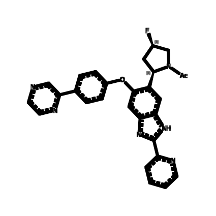 CC(=O)N1C[C@H](F)C[C@@H]1c1cc2[nH]c(-c3ccccn3)nc2cc1Oc1ccc(-c2cnccn2)cc1